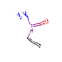 C=C[PH](N)=O